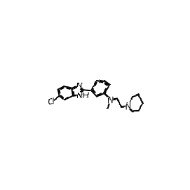 CN(CCN1CCCCC1)c1cccc(-c2nc3ccc(Cl)cc3[nH]2)c1